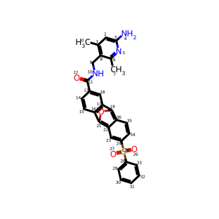 Cc1cc(N)nc(C)c1CNC(=O)c1ccc2c(c1)c1oc2c2cc(S(=O)(=O)c3ccccc3)ccc21